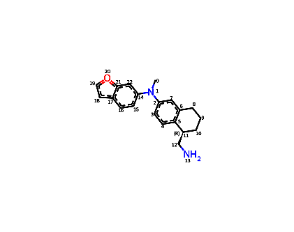 CN(c1ccc2c(c1)CCC[C@H]2CN)c1ccc2ccoc2c1